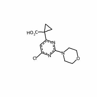 O=C(O)C1(c2cc(Cl)nc(N3CCOCC3)n2)CC1